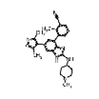 Cc1noc(C)c1-c1cc(-c2cccc(C#N)c2C)c2nc(NC3CCN(C)CC3)[nH]c2c1